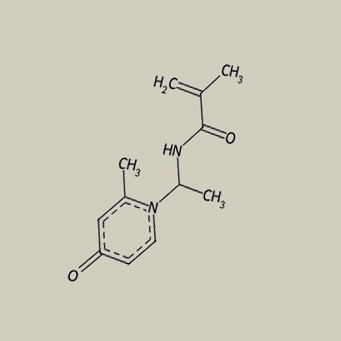 C=C(C)C(=O)NC(C)n1ccc(=O)cc1C